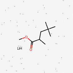 COC(=O)C(C)CC(C)(C)C.[LiH]